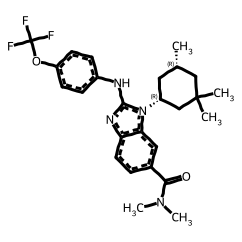 C[C@H]1C[C@@H](n2c(Nc3ccc(OC(F)(F)F)cc3)nc3ccc(C(=O)N(C)C)cc32)CC(C)(C)C1